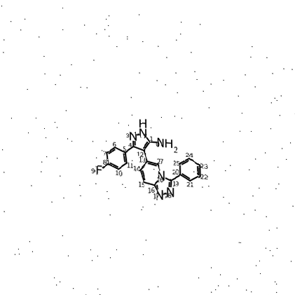 Nc1[nH]nc(-c2ccc(F)cc2)c1-c1ccc2nnc(-c3ccccc3)n2c1